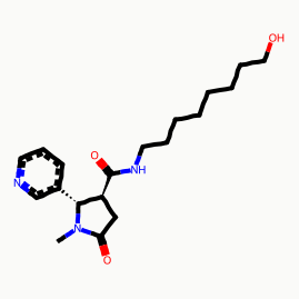 CN1C(=O)C[C@H](C(=O)NCCCCCCCCO)[C@H]1c1cccnc1